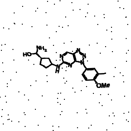 COc1ccc(-n2nnc3cnc(NC4CC[C@@H](C(N)O)C4)nc32)cc1C